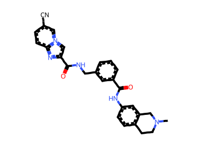 CN1CCc2ccc(NC(=O)c3cccc(CNC(=O)c4cn5cc(C#N)ccc5n4)c3)cc2C1